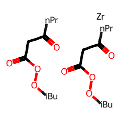 CCCC(=O)CC(=O)OOC(C)CC.CCCC(=O)CC(=O)OOC(C)CC.[Zr]